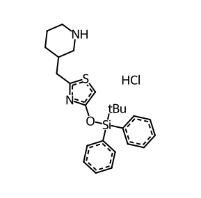 CC(C)(C)[Si](Oc1csc(CC2CCCNC2)n1)(c1ccccc1)c1ccccc1.Cl